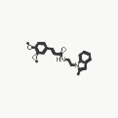 COc1ccc(C=CC(=O)NCCn2c(C)cc3ccccc32)cc1OC